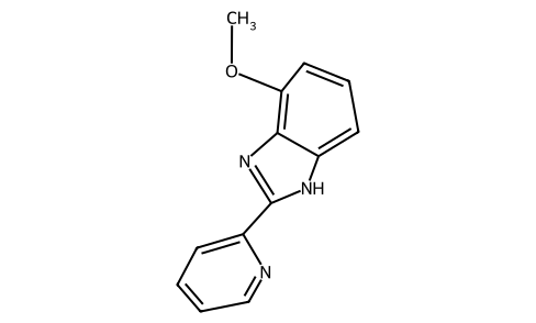 COc1cccc2[nH]c(-c3ccccn3)nc12